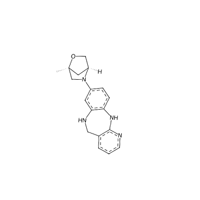 C[C@@]12C[C@@H](CO1)N(c1ccc3c(c1)NCc1cccnc1N3)C2